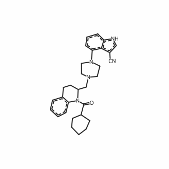 N#Cc1c[nH]c2cccc(N3CCN(CC4CCc5ccccc5N4C(=O)C4CCCCC4)CC3)c12